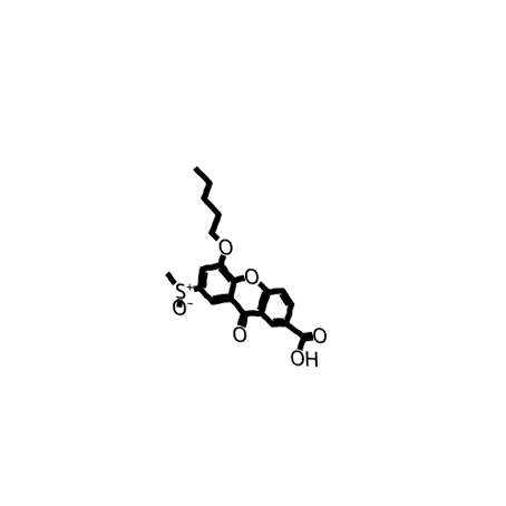 CCCCCOc1cc([S+](C)[O-])cc2c(=O)c3cc(C(=O)O)ccc3oc12